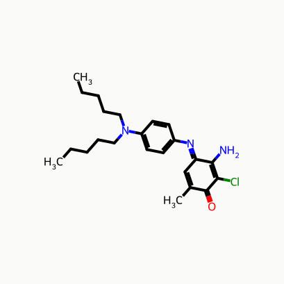 CCCCCN(CCCCC)c1ccc(N=C2C=C(C)C(=O)C(Cl)=C2N)cc1